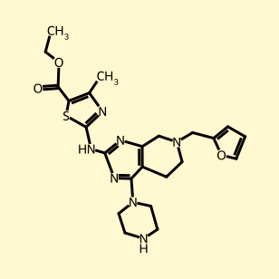 CCOC(=O)c1sc(Nc2nc3c(c(N4CCNCC4)n2)CCN(Cc2ccco2)C3)nc1C